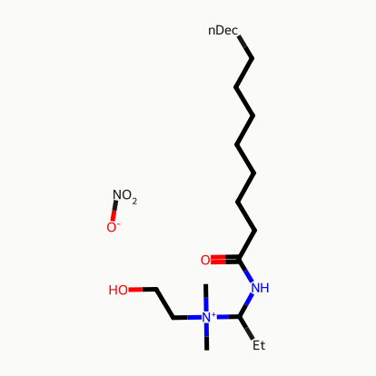 CCCCCCCCCCCCCCCCCC(=O)NC(CC)[N+](C)(C)CCO.O=[N+]([O-])[O-]